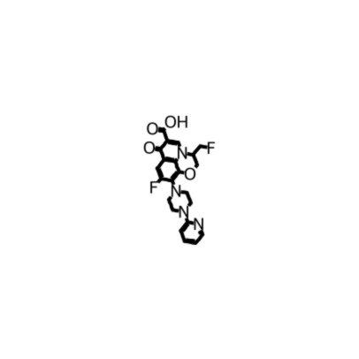 O=C(O)c1cn2c3c(c(N4CCN(c5ccccn5)CC4)c(F)cc3c1=O)OCC2CF